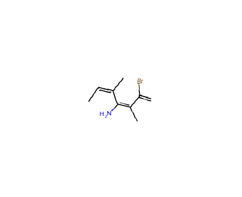 C=C(Br)/C(C)=C(N)\C(C)=C/C